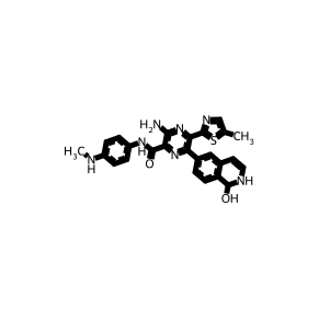 CNc1ccc(NC(=O)c2nc(-c3ccc4c(c3)C=CNC4O)c(-c3ncc(C)s3)nc2N)cc1